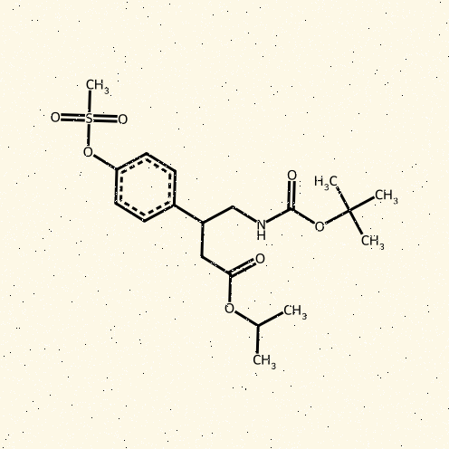 CC(C)OC(=O)CC(CNC(=O)OC(C)(C)C)c1ccc(OS(C)(=O)=O)cc1